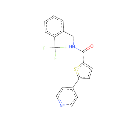 O=C(NCc1ccccc1C(F)(F)F)c1ccc(-c2ccncc2)s1